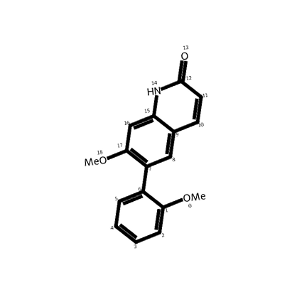 COc1ccccc1-c1cc2ccc(=O)[nH]c2cc1OC